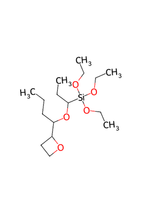 CCCC(OC(CC)[Si](OCC)(OCC)OCC)C1CCO1